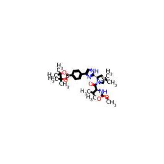 COC(=O)N[C@H](C(=O)N1C[Si](C)(C)C[C@H]1c1nc(-c2ccc(B3OC(C)(C)C(C)(C)O3)cc2)c[nH]1)C(C)C